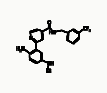 CCNc1ccc(N)c(-c2cc(C(=O)NCc3cccc(C(F)(F)F)c3)ccn2)c1